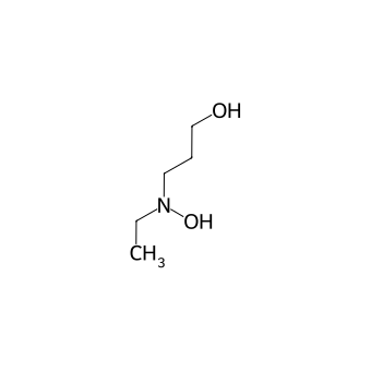 CCN(O)CCCO